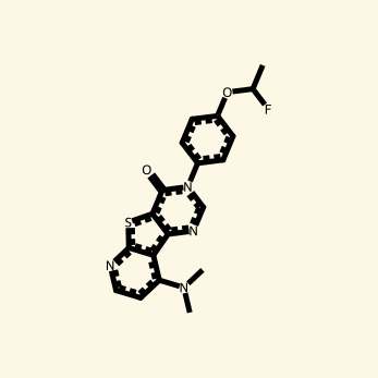 CC(F)Oc1ccc(-n2cnc3c(sc4nccc(N(C)C)c43)c2=O)cc1